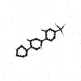 Cc1cc(-c2ccc(C(F)(F)F)cc2C)ncc1-c1ccccc1